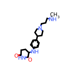 CNCCCN1CCC(c2ccc(NC3CCC(=O)NC3=O)cc2)CC1